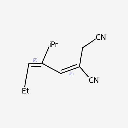 CC/C=C(\C=C(\C#N)CC#N)C(C)C